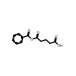 O=C(O)CCCC(=O)OC(=O)c1ccccc1